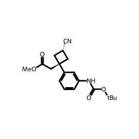 COC(=O)C[C@]1(c2cccc(NC(=O)OC(C)(C)C)c2)C[C@@H](C#N)C1